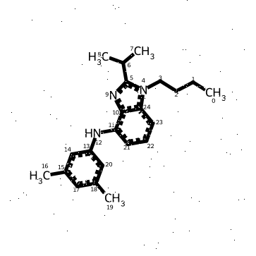 CCCCn1c(C(C)C)nc2c(Nc3cc(C)cc(C)c3)cccc21